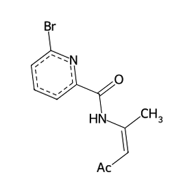 CC(=O)/C=C(/C)NC(=O)c1cccc(Br)n1